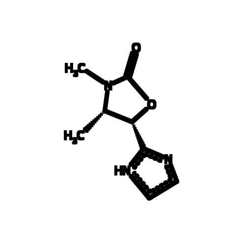 C[C@H]1[C@@H](c2ncc[nH]2)OC(=O)N1C